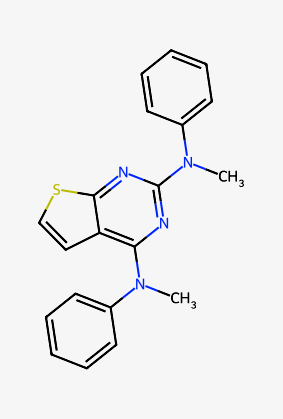 CN(c1ccccc1)c1nc(N(C)c2ccccc2)c2ccsc2n1